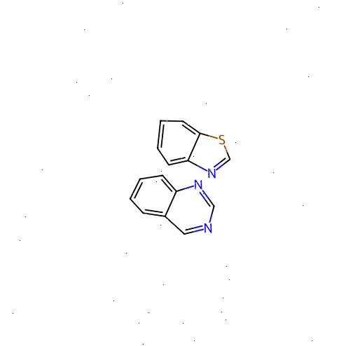 c1ccc2ncncc2c1.c1ccc2scnc2c1